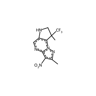 Cc1nn2c3c(cnc2c1[N+](=O)[O-])NCC3(C)C(F)(F)F